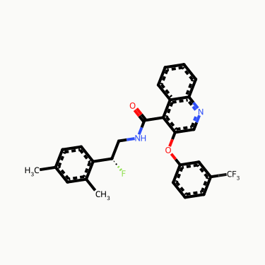 Cc1ccc([C@@H](F)CNC(=O)c2c(Oc3cccc(C(F)(F)F)c3)cnc3ccccc23)c(C)c1